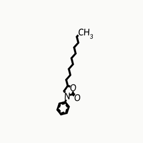 CCCCCCCCCCC1CN(c2ccccc2)C(=O)O1